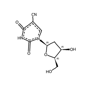 N#Cc1cn([C@H]2C[C@@H](O)[C@@H](CO)O2)c(=O)[nH]c1=O